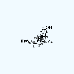 CC(=O)OC1C=C2CC(O)CC[C@]2(C)[C@H]2CC[C@]3(C)[C@@H]([C@H](C)CCCC(C)C)CC[C@H]3[C@H]12